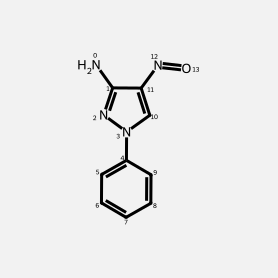 Nc1nn(-c2ccccc2)cc1N=O